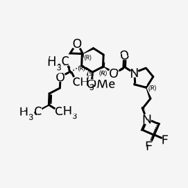 CO[C@H]1[C@H](C(C)(C)OCC=C(C)C)[C@]2(CC[C@H]1OC(=O)N1CC[C@@H](CCN3CC(F)(F)C3)C1)CO2